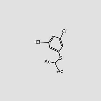 CC(=O)C(Sc1cc(Cl)cc(Cl)c1)C(C)=O